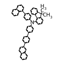 CC1(C)c2ccccc2-c2c(N(c3ccc(-c4ccc(-c5ccc6ccccc6c5)cc4)cc3)c3ccc(-c4cccc5ccccc45)cc3)cccc21